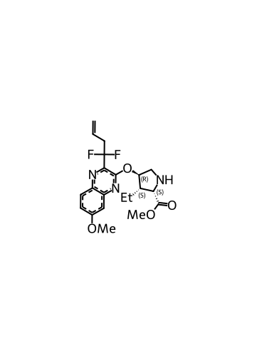 C=CCC(F)(F)c1nc2ccc(OC)cc2nc1O[C@H]1CN[C@H](C(=O)OC)[C@@H]1CC